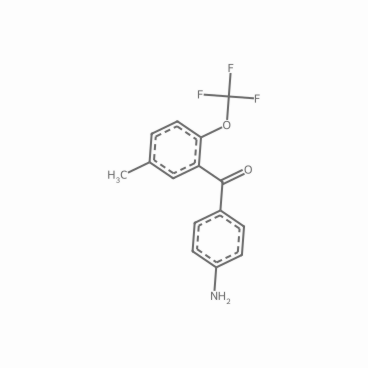 Cc1ccc(OC(F)(F)F)c(C(=O)c2ccc(N)cc2)c1